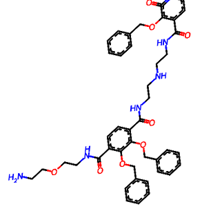 Cc1cc(C(=O)NCCNCCNC(=O)c2ccc(C(=O)NCCOCCN)c(OCc3ccccc3)c2OCc2ccccc2)c(OCc2ccccc2)c(=O)[nH]1